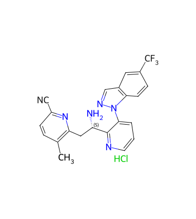 Cc1ccc(C#N)nc1C[C@H](N)c1ncccc1-n1ncc2cc(C(F)(F)F)ccc21.Cl